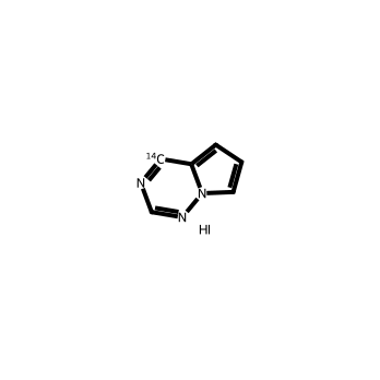 I.c1cc2[14cH]ncnn2c1